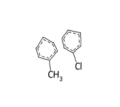 Cc1ccccc1.Clc1ccccc1